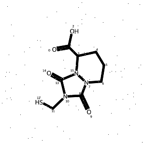 O=C(O)C1CCCn2c(=O)n(CS)c(=O)n21